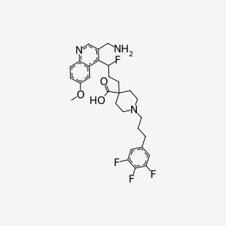 COc1ccc2ncc(CN)c(C(F)CCC3(C(=O)O)CCN(CCCc4cc(F)c(F)c(F)c4)CC3)c2c1